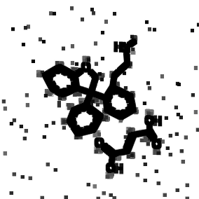 CNCCc1ccccc1C1(c2ccccc2)COc2ccccc21.O=C(O)C=CC(=O)O